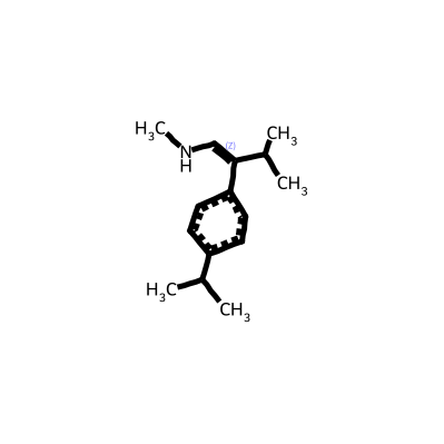 CN/C=C(\c1ccc(C(C)C)cc1)C(C)C